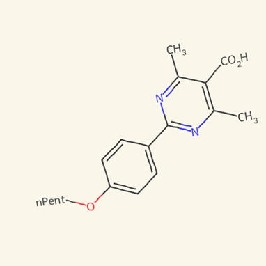 CCCCCOc1ccc(-c2nc(C)c(C(=O)O)c(C)n2)cc1